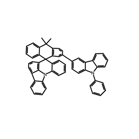 CC1(C)c2ccccc2C2(c3ccccc3-n3c4ccccc4c4cccc2c43)c2cc(-c3ccc4c(c3)c3ccccc3n4-c3ccccc3)ccc21